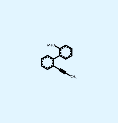 CC#Cc1ccccc1-c1ccccc1OC